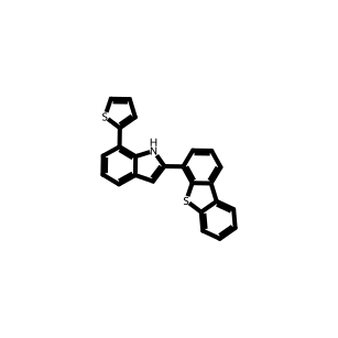 c1csc(-c2cccc3cc(-c4cccc5c4sc4ccccc45)[nH]c23)c1